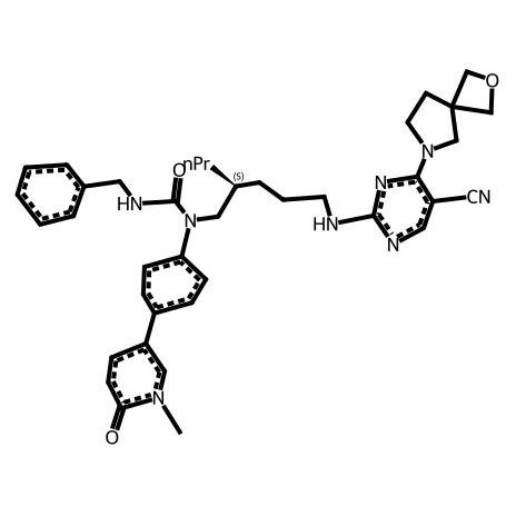 CCC[C@@H](CCCNc1ncc(C#N)c(N2CCC3(COC3)C2)n1)CN(C(=O)NCc1ccccc1)c1ccc(-c2ccc(=O)n(C)c2)cc1